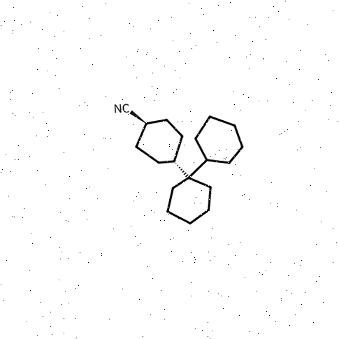 N#C[C@H]1CC[C@H](C2(C3CCCCC3)CCCCC2)CC1